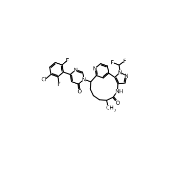 CC1CCCC(n2cnc(-c3c(F)ccc(Cl)c3F)cc2=O)c2cc(ccn2)-c2c(cnn2C(F)F)NC1=O